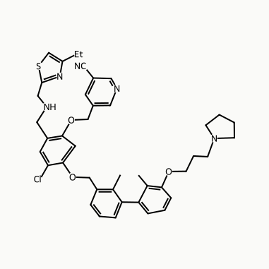 CCc1csc(CNCc2cc(Cl)c(OCc3cccc(-c4cccc(OCCCN5CCCC5)c4C)c3C)cc2OCc2cncc(C#N)c2)n1